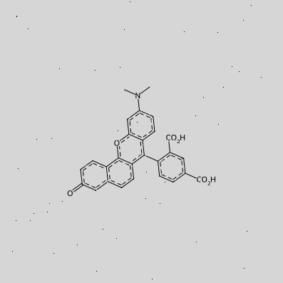 CN(C)c1ccc2c(-c3ccc(C(=O)O)cc3C(=O)O)c3ccc4cc(=O)ccc4c3oc2c1